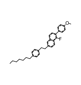 CCCCCCCc1ccc(CCc2ccc3c(F)c(-c4ccc(OC)cc4)ccc3c2)cc1